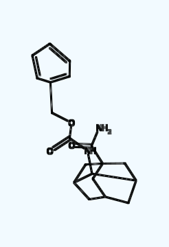 NC(=O)C12CC3CC(C1)C(NC(=O)OCc1ccccc1)C(C3)C2